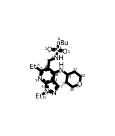 CCCCS(=O)(=O)NCc1c(CC)nc2c(cnn2CC)c1NC1CCOCC1